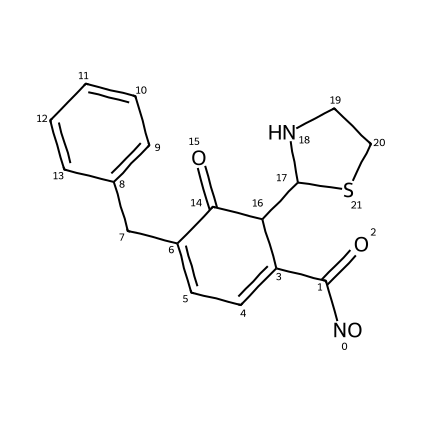 O=NC(=O)C1=CC=C(Cc2ccccc2)C(=O)C1C1NCCS1